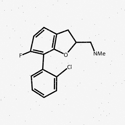 CNCC1Cc2ccc(F)c(-c3ccccc3Cl)c2O1